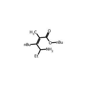 CCCCOC(=O)C(C)=C(CCCC)C(N)CC